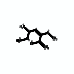 C=C(Cl)/C(=C\C(C)OC)OC